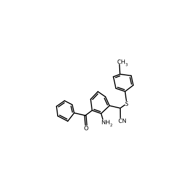 Cc1ccc(SC(C#N)c2cccc(C(=O)c3ccccc3)c2N)cc1